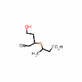 CC(CC(=O)O)SC(CCO)CN=O